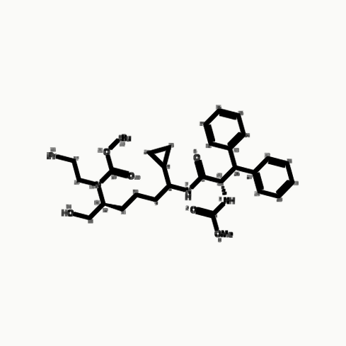 COC(=O)N[C@H](C(=O)NC(CCC[C@@H](CO)N(CCC(C)C)C(=O)OC(C)(C)C)C1CC1)C(c1ccccc1)c1ccccc1